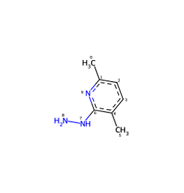 Cc1ccc(C)c(NN)n1